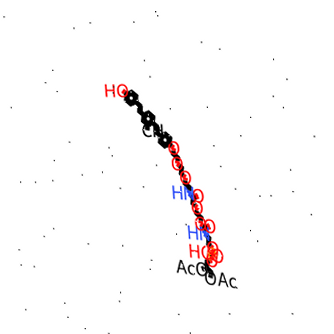 CC(=O)OCC(COP(=O)(O)OCCNC(=O)OCCOCC(=O)NCCOCCOCCOc1ccc(/C=C/c2ccc(/C=C/c3ccc(O)cc3)cc2C)cc1)OC(C)=O